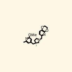 COc1cc(C[C@@]2(C)CCN(Cc3ccc4c(n3)OCCO4)C2)cc(C)n1